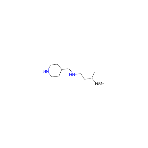 CNC(C)CCNCC1CCNCC1